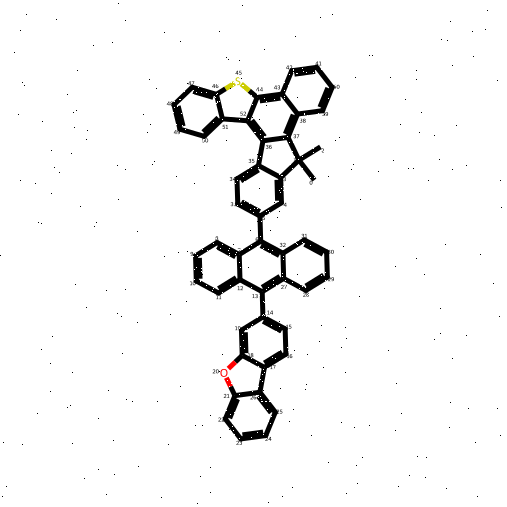 CC1(C)c2cc(-c3c4ccccc4c(-c4ccc5c(c4)oc4ccccc45)c4ccccc34)ccc2-c2c1c1ccccc1c1sc3ccccc3c21